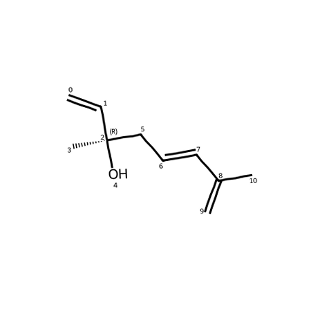 C=C[C@](C)(O)CC=CC(=C)C